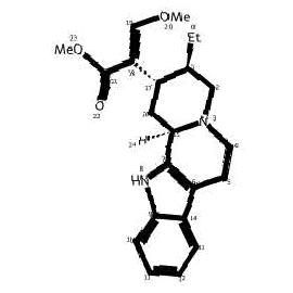 CC[C@H]1CN2CCc3c([nH]c4ccccc34)[C@H]2C[C@@H]1/C(=C\OC)C(=O)OC